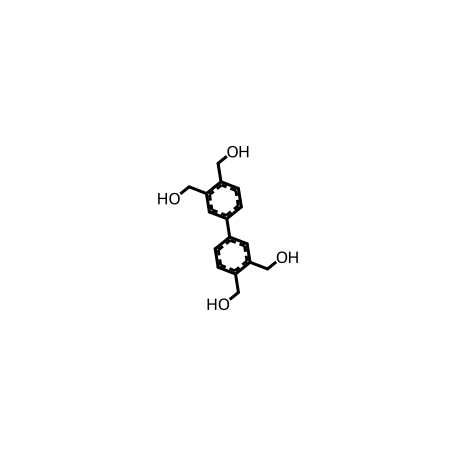 OCc1ccc(-c2ccc(CO)c(CO)c2)cc1CO